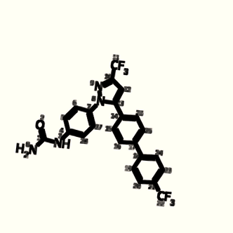 NC(=O)Nc1ccc(-n2nc(C(F)(F)F)cc2-c2ccc(-c3ccc(C(F)(F)F)cc3)cc2)cc1